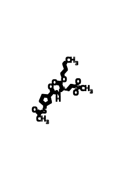 CCCCOC(=O)[C@H](CCS(C)(=O)=O)NC(=O)C1CCC(SC(C)=O)C1